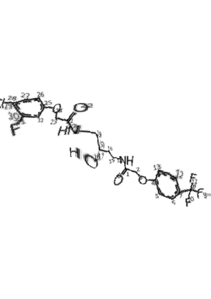 O=C(COc1ccc(C(F)(F)F)cc1)NCC[C@H](O)CNC(=O)COc1ccc(Cl)c(F)c1